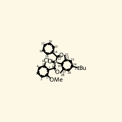 COc1cccc(Cl)c1C(=O)P(=O)(C(=O)c1ccccc1)c1c(C)cc(C(C)(C)C)cc1C